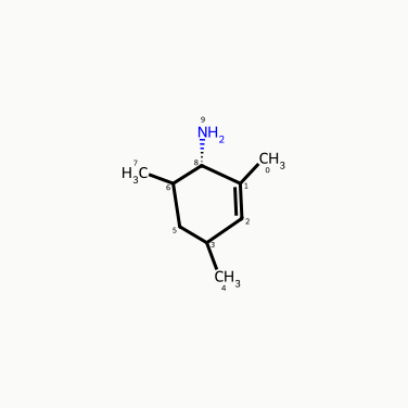 CC1=CC(C)CC(C)[C@@H]1N